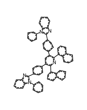 c1ccc(-n2c(-c3ccc(-c4cc(-c5ccc(-c6nc7ccccc7n6-c6ccccc6)cc5)c(-c5cccc6ccccc56)nc4-c4cccc5ccccc45)cc3)nc3ccccc32)cc1